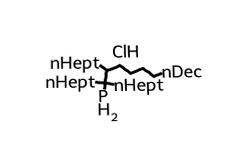 CCCCCCCCCCCCCCC(CCCCCCC)C(P)(CCCCCCC)CCCCCCC.Cl